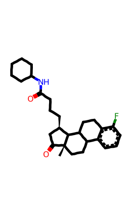 C[C@]12CCC3c4cccc(F)c4CCC3C1[C@H](CCCC(=O)NC1CCCCC1)CC2=O